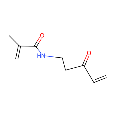 C=CC(=O)CCNC(=O)C(=C)C